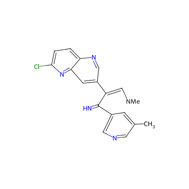 CN/C=C(\C(=N)c1cncc(C)c1)c1cnc2ccc(Cl)nc2c1